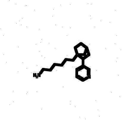 NCCCCCCC12CCC(CC1c1cccnc1)C2